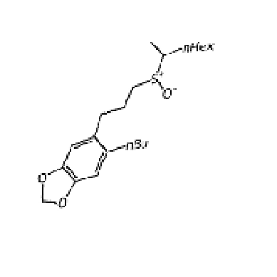 CCCCCCC(C)[S+]([O-])CCCc1cc2c(cc1CCCC)OCO2